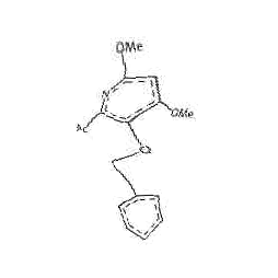 COc1cc(OC)c(OCc2ccccc2)c(C(C)=O)n1